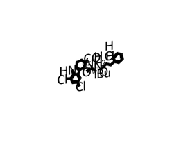 CCC(C)[C@H](NC(=O)CCc1ccccc1O)C(=O)N[C@@]1(C(=O)O)CCc2[nH]c3c(Cl)cc(Cl)cc3c2C1